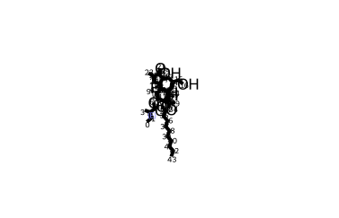 C/C=C(\C)C(=O)O[C@@H]1[C@@H](C)[C@@]2(O)[C@@H](C=C(CO)C[C@]3(O)C(=O)C(C)=C[C@@H]23)[C@]2(C)C(C)(C)[C@]12OC(=O)CCCCCCCCC